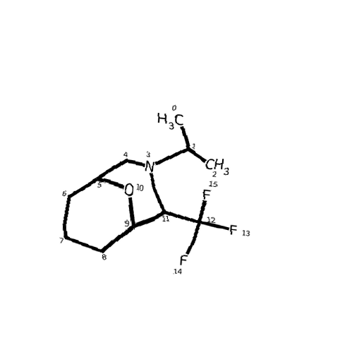 CC(C)N1CC2CCCC(O2)C1C(F)(F)F